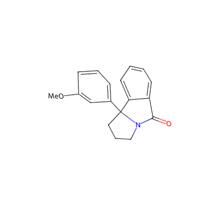 COc1cccc(C23CCCN2C(=O)c2ccccc23)c1